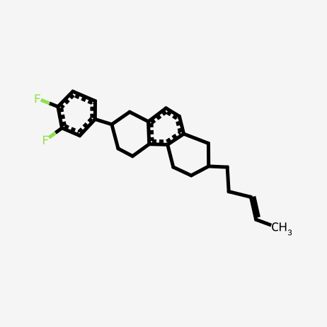 CC=CCCC1CCc2c(ccc3c2CCC(c2ccc(F)c(F)c2)C3)C1